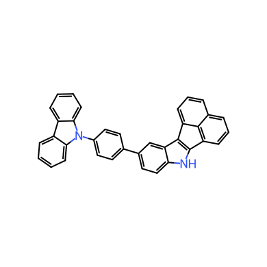 c1cc2c3c(cccc3c1)-c1c-2[nH]c2ccc(-c3ccc(-n4c5ccccc5c5ccccc54)cc3)cc12